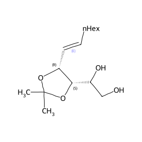 CCCCCC/C=C/[C@H]1OC(C)(C)O[C@H]1C(O)CO